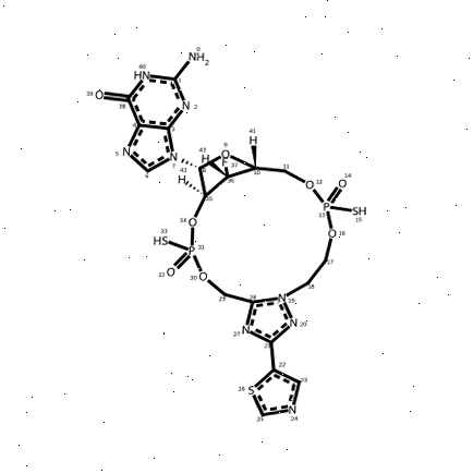 Nc1nc2c(ncn2[C@@H]2O[C@@H]3COP(=O)(S)OCCn4nc(-c5cncs5)nc4COP(=O)(S)O[C@@H]2[C@@H]3F)c(=O)[nH]1